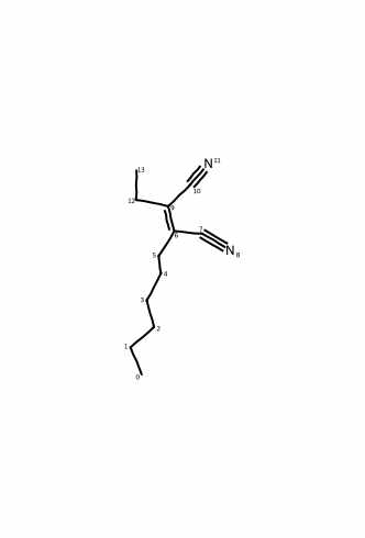 CCCCCC/C(C#N)=C(/C#N)CC